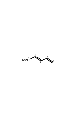 C=CC=NOC